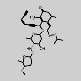 C#C/C=C\C#C[C@H](OC1CC(O)[C@H](NOC2CC[C@H](SC)C(C)O2)C(C)O1)C1=C(N)C(=O)CC(C)/C1=C/CSSC(C)C